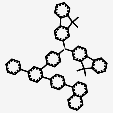 CC1(C)c2ccccc2-c2ccc(N(c3ccc(-c4cc(-c5ccccc5)ccc4-c4ccc(-c5cccc6ccccc56)cc4)cc3)c3ccc4c(c3)C(C)(C)c3ccccc3-4)cc21